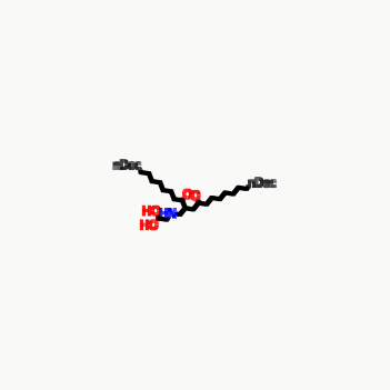 CCCCCCCCCCCCCCCCCC(=O)CC(CNCC(O)O)C(=O)CCCCCCCCCCCCCCCCC